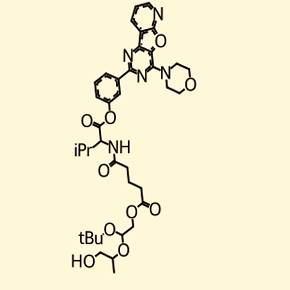 CC(CO)OC(COC(=O)CCCC(=O)NC(C(=O)Oc1cccc(-c2nc(N3CCOCC3)c3oc4ncccc4c3n2)c1)C(C)C)OC(C)(C)C